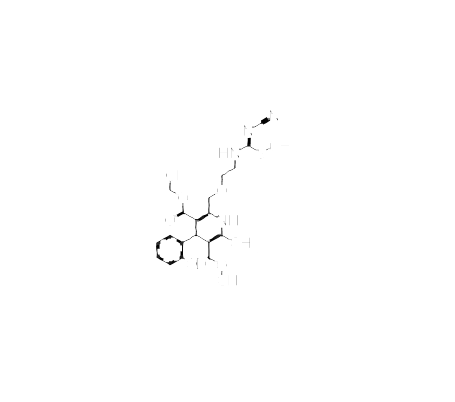 CCOC(=O)C1=C(COCCNC(=NC#N)SC)NC(C)=C(C(=O)OC)C1c1ccccc1Cl